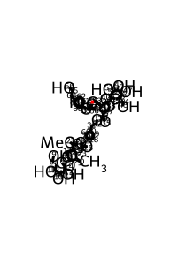 C/C=C1/[C@H](O[C@@H]2O[C@H](CO)[C@@H](O)[C@H](O)[C@H]2O)OC=C(C(=O)OC)[C@H]1CC(=O)Oc1ccc(CCOC(=O)C2=CO[C@@H](O[C@@H]3O[C@H](CO)[C@@H](O)[C@H](O)[C@H]3O)/C(=C/C)[C@@H]2CC(=O)Oc2ccc(CCO)cc2)cc1